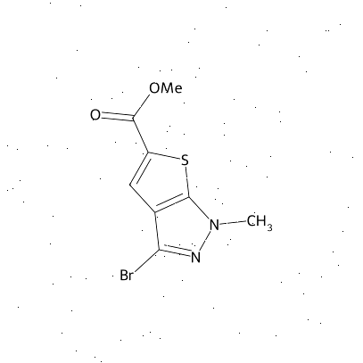 COC(=O)c1cc2c(Br)nn(C)c2s1